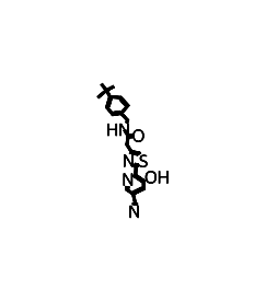 CC(C)(C)c1ccc(CNC(=O)Cc2csc(-c3ncc(C#N)cc3O)n2)cc1